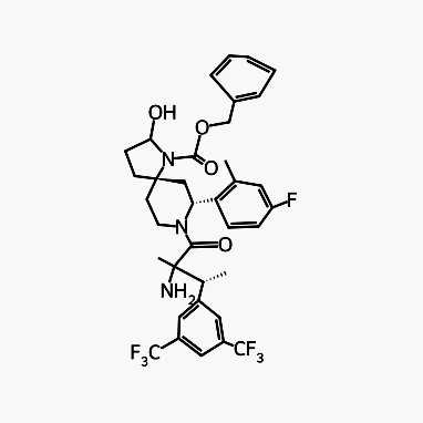 Cc1cc(F)ccc1[C@H]1C[C@]2(CCC(O)N2C(=O)OCc2ccccc2)CCN1C(=O)C(C)(N)[C@H](C)c1cc(C(F)(F)F)cc(C(F)(F)F)c1